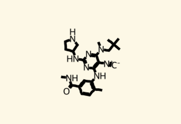 [C-]#[N+]c1c(Nc2cc(C(=O)NC)ccc2C)nc(NC2CCNC2)nc1N(C)CC(C)(C)C